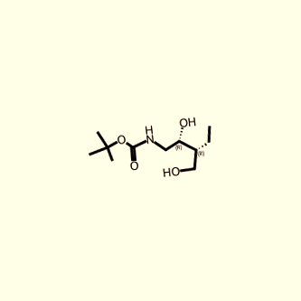 CC[C@H](CO)[C@@H](O)CNC(=O)OC(C)(C)C